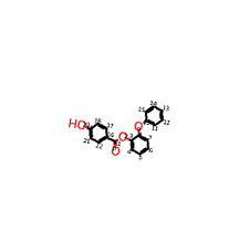 O=C(Oc1ccccc1Oc1ccccc1)c1ccc(O)cc1